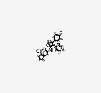 O=C(Cc1sccc1C(F)(F)F)Nc1onc(-c2ccc(F)cc2)c1-c1ccncn1